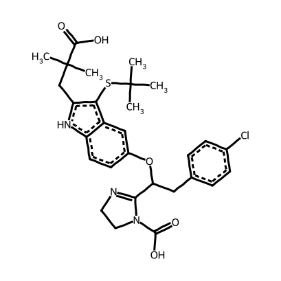 CC(C)(C)Sc1c(CC(C)(C)C(=O)O)[nH]c2ccc(OC(Cc3ccc(Cl)cc3)C3=NCCN3C(=O)O)cc12